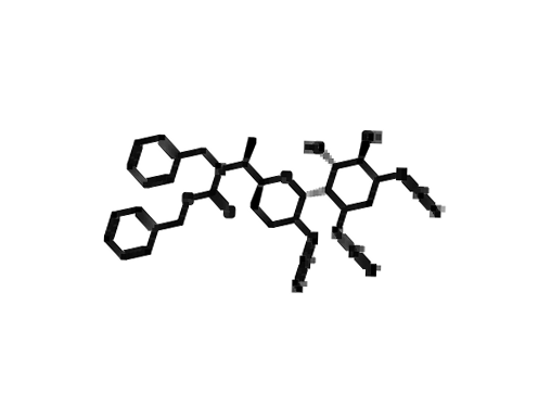 C[C@@H]([C@@H]1CCC(N=[N+]=[N-])[C@@H](C2C(N=[N+]=[N-])CC(N=[N+]=[N-])[C@H](O)[C@H]2O)O1)N(Cc1ccccc1)C(=O)OCc1ccccc1